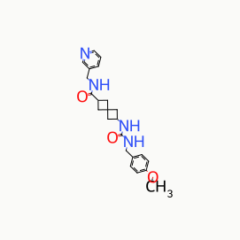 COc1ccc(CNC(=O)NC2CC3(C2)CC(C(=O)NCc2cccnc2)C3)cc1